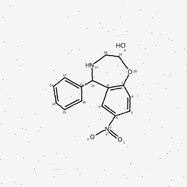 Cl.O=[N+]([O-])c1ccc2c(c1)C(c1ccccc1)NCCO2